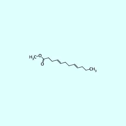 CCCC=CCCC=CCCC(=O)OC